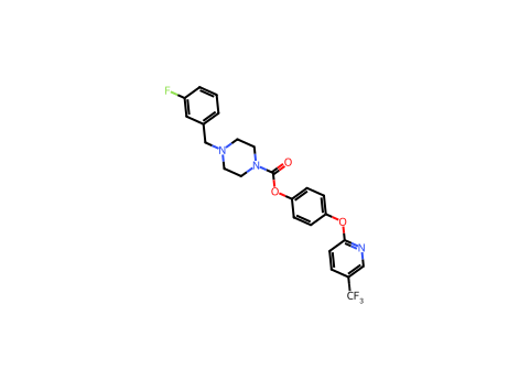 O=C(Oc1ccc(Oc2ccc(C(F)(F)F)cn2)cc1)N1CCN(Cc2cccc(F)c2)CC1